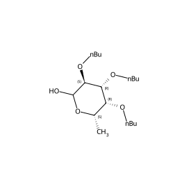 CCCCO[C@@H]1[C@H](OCCCC)[C@H](C)OC(O)[C@H]1OCCCC